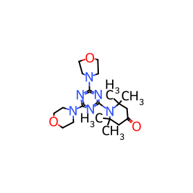 CC1(C)CC(=O)CC(C)(C)N1c1nc(N2CCOCC2)nc(N2CCOCC2)n1